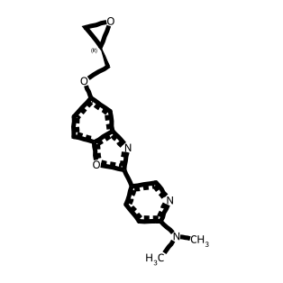 CN(C)c1ccc(-c2nc3cc(OC[C@H]4CO4)ccc3o2)cn1